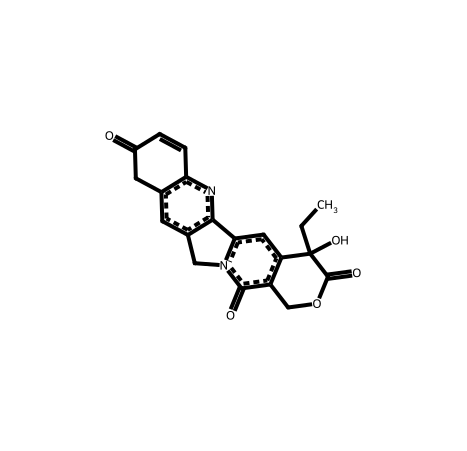 CCC1(O)C(=O)OCc2c1cc1n(c2=O)Cc2cc3c(nc2-1)C=CC(=O)C3